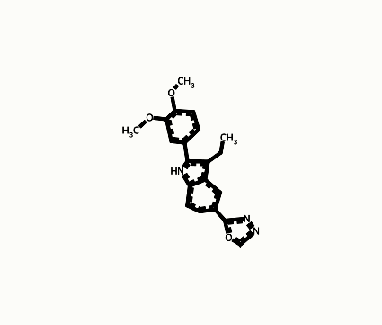 CCc1c(-c2ccc(OC)c(OC)c2)[nH]c2ccc(-c3nn[c]o3)cc12